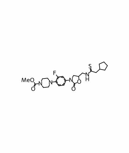 COC(=O)N1CCN(c2ccc(N3CC(CNC(=S)CC4CCCC4)OC3=O)cc2F)CC1